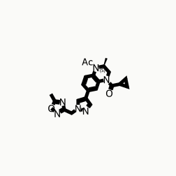 CC(=O)N1c2ccc(-c3cnn(Cc4noc(C)n4)c3)cc2N(C(=O)C2CC2)C[C@@H]1C